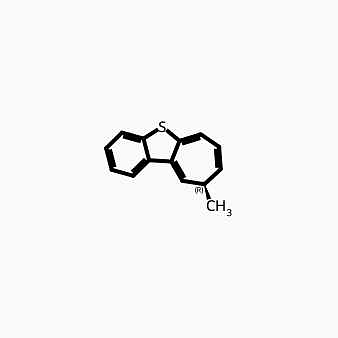 C[C@@H]1C=CC=c2sc3ccccc3c2=C1